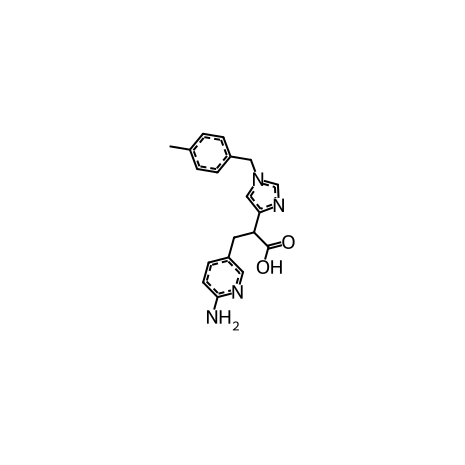 Cc1ccc(Cn2cnc(C(Cc3ccc(N)nc3)C(=O)O)c2)cc1